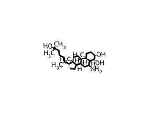 C[C@H](CCCC(C)(C)O)[C@H]1CC[C@H]2[C@@H]3CC(N)[C@H]4[C@@H](O)[C@@H](O)CC[C@]4(C)[C@H]3CC[C@]12C